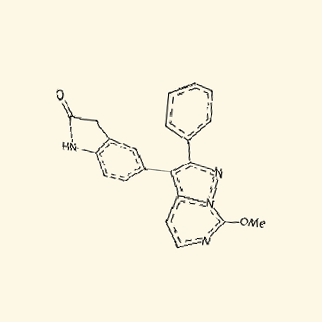 COc1nccc2c(-c3ccc4c(c3)CC(=O)N4)c(-c3ccccc3)nn12